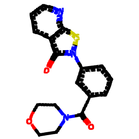 O=C(c1cccc(-n2sc3ncccc3c2=O)c1)N1CCOCC1